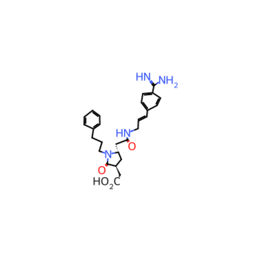 N=C(N)c1ccc(/C=C/CNC(=O)C[C@@H]2C[C@@H](CC(=O)O)C(=O)N2CCCc2ccccc2)cc1